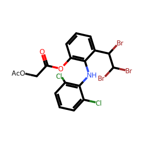 CC(=O)OCC(=O)Oc1cccc(C(Br)C(Br)Br)c1Nc1c(Cl)cccc1Cl